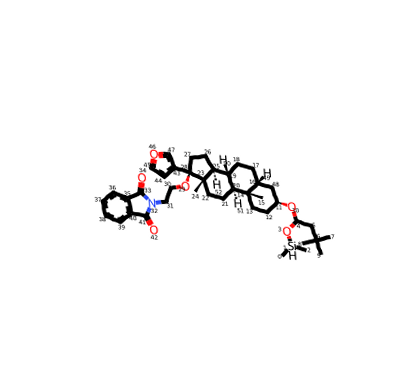 C[SiH](C)OC(CC(C)(C)C)O[C@H]1CC[C@@]2(C)[C@H](CC[C@@H]3[C@@H]2CC[C@@]2(C)[C@H]3CC[C@@]2(OCCN2C(=O)c3ccccc3C2=O)c2ccoc2)C1